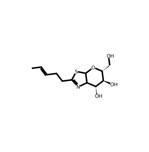 C/C=C/CCC1=NC2C(O[C@H](CO)[C@@H](O)[C@@H]2O)S1